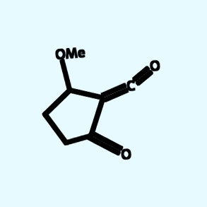 COC1CCC(=O)C1=C=O